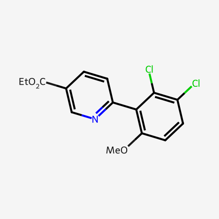 CCOC(=O)c1ccc(-c2c(OC)ccc(Cl)c2Cl)nc1